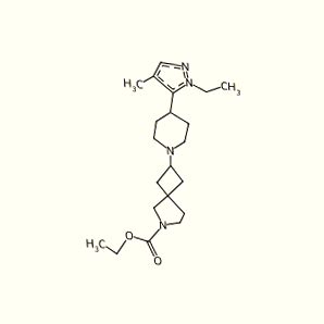 CCOC(=O)N1CCC2(CC(N3CCC(c4c(C)cnn4CC)CC3)C2)C1